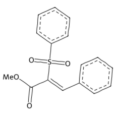 COC(=O)C(=Cc1ccccc1)S(=O)(=O)c1ccccc1